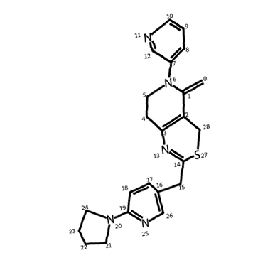 C=C1C2=C(CCN1c1cccnc1)N=C(Cc1ccc(N3CCCC3)nc1)SC2